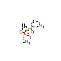 CCOC(=O)C(C)(C)SC(=O)N(CC)CC